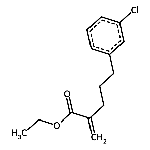 C=C(CCCc1cccc(Cl)c1)C(=O)OCC